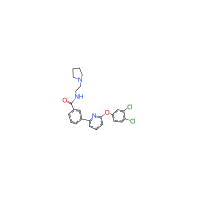 O=C(NCCN1CCCC1)c1cccc(-c2cccc(Oc3ccc(Cl)c(Cl)c3)n2)c1